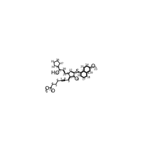 COC(=O)CCCC#CC=C1C(=O)C(Sc2cccc3cc(OC)ccc23)=CC1C=CC(O)C1CCCC1